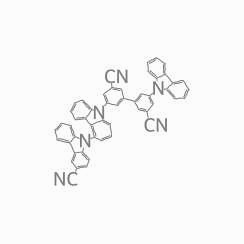 N#Cc1cc(-c2cc(C#N)cc(-n3c4ccccc4c4c(-n5c6ccccc6c6cc(C#N)ccc65)cccc43)c2)cc(-n2c3ccccc3c3ccccc32)c1